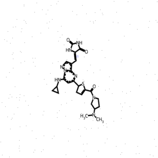 CN(C)C1CCN(C(=O)C2=CCC(c3cc(NC4CC4)n4ncc(/C=C5\NC(=O)NC5=O)c4n3)S2)C1